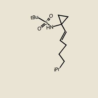 CC(C)CCC/C=C/C1(NS(=O)(=O)C(C)(C)C)CC1